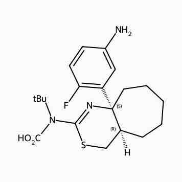 CC(C)(C)N(C(=O)O)C1=N[C@@]2(c3cc(N)ccc3F)CCCCC[C@H]2CS1